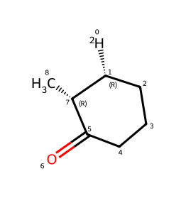 [2H][C@@H]1CCCC(=O)[C@@H]1C